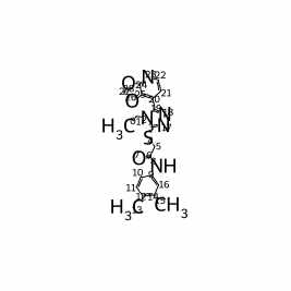 CCn1c(SCC(=O)Nc2ccc(C)c(C)c2)nnc1-c1ccnc2c1OCO2